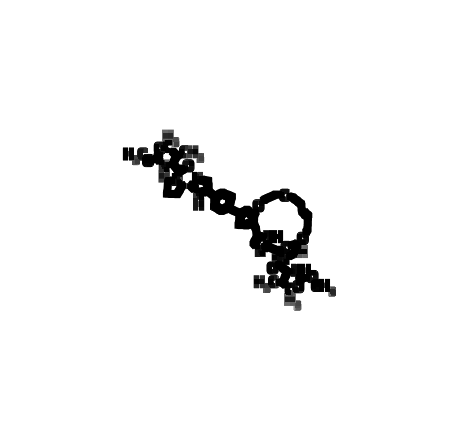 COC(=O)N[C@H](C(=O)N1CCC[C@H]1c1ncc(-c2ccc(-c3ccc4c(c3)OCCCCC/C=C/CO[C@H]3C[C@@H](c5ncc-4[nH]5)N(C(=O)[C@@H](NC(=O)OC)C(C)C)C3)cc2)[nH]1)C(C)C